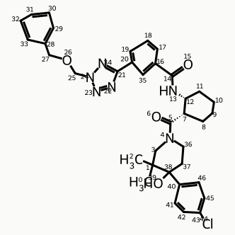 CC1(C)CN(C(=O)[C@H]2CCCC[C@H]2NC(=O)c2cccc(-c3nnn(COCc4ccccc4)n3)c2)CCC1(O)c1ccc(Cl)cc1